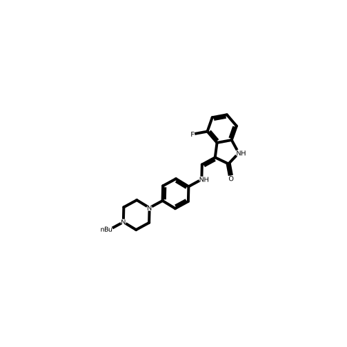 CCCCN1CCN(c2ccc(NC=C3C(=O)Nc4cccc(F)c43)cc2)CC1